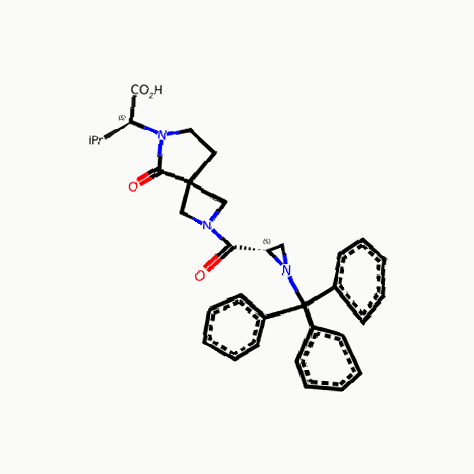 CC(C)[C@@H](C(=O)O)N1CCC2(CN(C(=O)[C@@H]3CN3C(c3ccccc3)(c3ccccc3)c3ccccc3)C2)C1=O